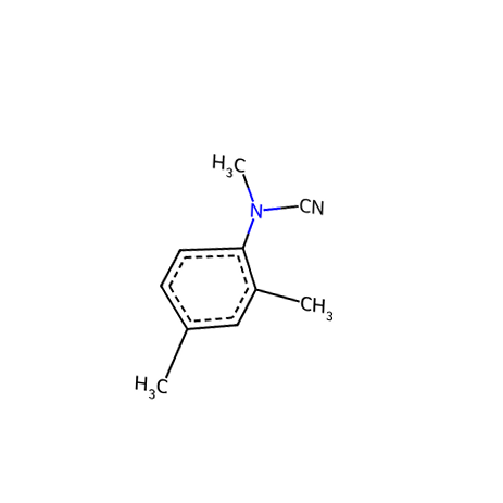 Cc1ccc(N(C)C#N)c(C)c1